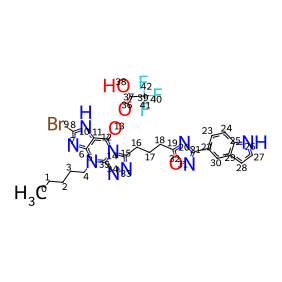 CCCCCn1c2nc(Br)[nH]c2c(=O)n2c(CCCc3nc(-c4ccc5[nH]ccc5c4)no3)nnc12.O=C(O)C(F)(F)F